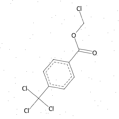 O=C(OCCl)c1ccc(C(Cl)(Cl)Cl)cc1